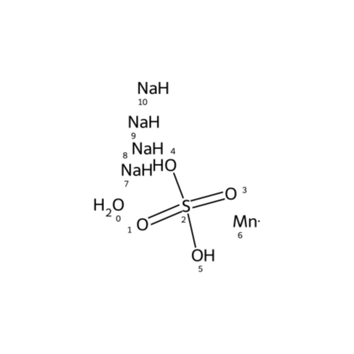 O.O=S(=O)(O)O.[Mn].[NaH].[NaH].[NaH].[NaH]